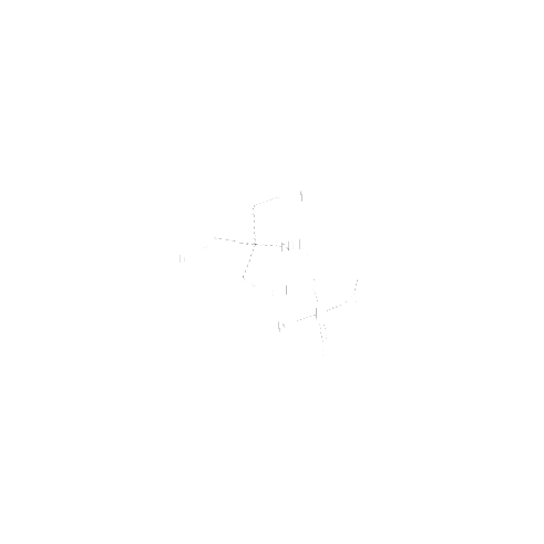 CCOP(=O)(O)O.NC(CO)(CO)CO